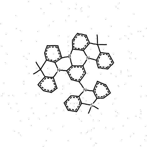 CC1(C)c2ccccc2N2c3cc(N4c5ccccc5S(C)(C)c5ccccc54)cc4c3B(c3cccc1c32)c1cccc2c1N4c1ccccc1C2(C)C